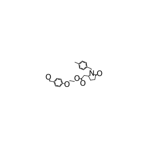 Cc1ccc(CN2C(=O)CCC2CC(=O)OCCOc2ccc(C=O)cc2)cc1